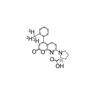 [2H]C([2H])([2H])c1ccccc1-c1cc(=O)oc2nc(N3CCC[C@H]3C(=O)O)ccc12